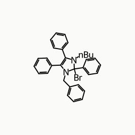 CCCCN1C(c2ccccc2)=C(c2ccccc2)N(Cc2ccccc2)C1(Br)c1ccccc1